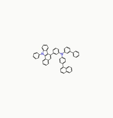 c1ccc(-c2cccc(N(c3ccc(-c4cccc5ccccc45)cc3)c3cccc(-c4cc5ccccc5c5c4c4ccccc4n5-c4ccccc4)c3)c2)cc1